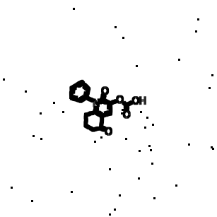 O=C(O)Oc1cc2c(n(-c3ccccc3)c1=O)CCCC2=O